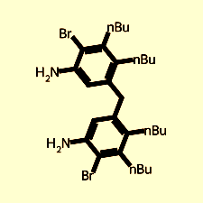 CCCCc1c(Cc2cc(N)c(Br)c(CCCC)c2CCCC)cc(N)c(Br)c1CCCC